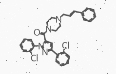 O=C(c1cc(-c2ccccc2Cl)nn1-c1ccccc1Cl)N1CCN(C/C=C/c2ccccc2)CC1